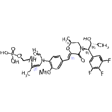 C=CN(/C=C(/C)NCOP(=O)(O)O)c1ccc(/C=C2\O[C@@H](C)CN([C@H](c3cc(F)c(F)c(F)c3)[C@@H](C)O)C2=O)cc1OC